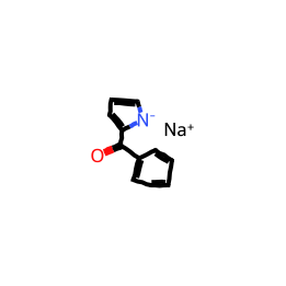 O=C(c1ccccc1)c1ccc[n-]1.[Na+]